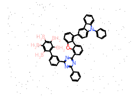 Bc1c(B)c(B)c(-c2cccc(-c3nc(-c4ccccc4)nc(-c4cccc5c4oc4cccc(-c6ccc7c(c6)c6ccccc6n7-c6ccccc6)c45)n3)c2)c(B)c1B